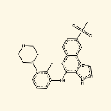 Cc1c(Nc2nc3ccc(S(C)(=O)=O)cc3c3cn[nH]c23)cccc1N1CCOCC1